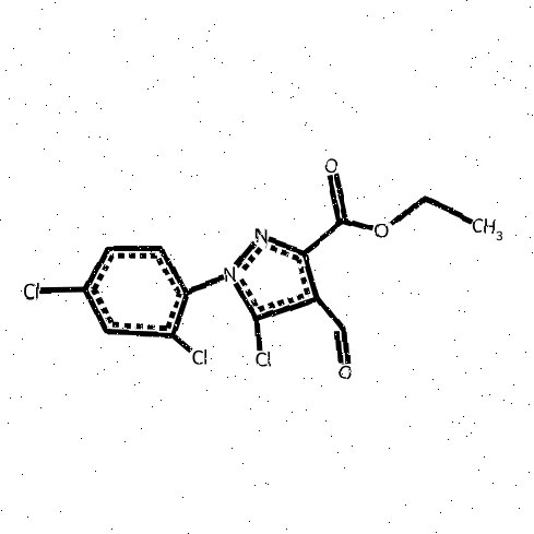 CCOC(=O)c1nn(-c2ccc(Cl)cc2Cl)c(Cl)c1C=O